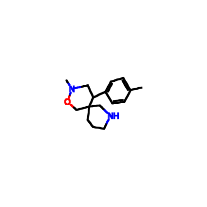 Cc1ccc(C2CN(C)OCC23CCCNC3)cc1